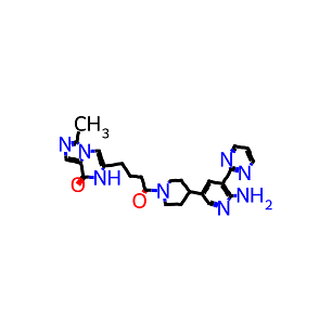 Cc1ncc2c(=O)[nH]c(CCCC(=O)N3CCC(c4cnc(N)c(-c5ncccn5)c4)CC3)cn12